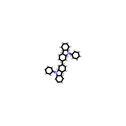 C1CCC(N2C3CCCCC3C3CCC(C4CCC5C6CCCCC6N(C6CCCCC6)C5C4)CC32)CC1